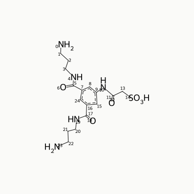 NCCCNC(=O)c1cc(NC(=O)CS(=O)(=O)O)cc(C(=O)NCCCN)c1